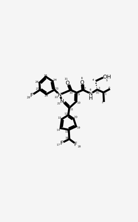 CC(C)[C@@H](CO)NC(=O)c1cc(-c2ccc(C(F)F)cc2)nn(-c2cccc(F)c2)c1=O